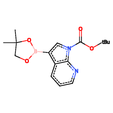 CC(C)(C)OC(=O)n1cc(B2OCC(C)(C)O2)c2cccnc21